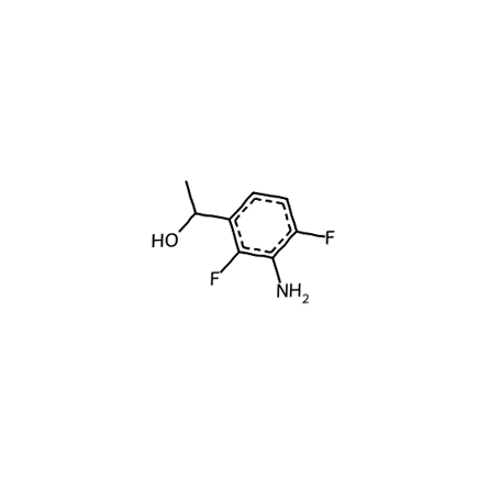 CC(O)c1ccc(F)c(N)c1F